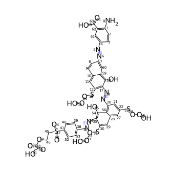 Nc1ccc(/N=N/c2ccc3cc(SOOO)c(/N=N/c4cc(SOOO)cc5cc(SOOO)c(/N=N/c6ccc(S(=O)(=O)CCOS(=O)(=O)O)cc6)c(O)c45)c(O)c3c2)cc1C(=O)O